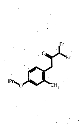 Cc1cc(OC(C)C)ccc1CC(=O)C(Br)C(C)C